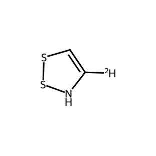 [2H]C1=CSSN1